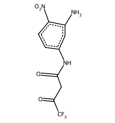 Nc1cc(NC(=O)CC(=O)C(F)(F)F)ccc1[N+](=O)[O-]